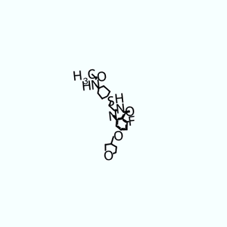 CC(=O)NC1CCC(SCc2nc3cc(OCC4CCOCC4)cc(F)c3c(=O)[nH]2)CC1